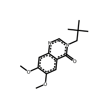 COc1cc2ncn(CC(C)(C)C)c(=O)c2cc1OC